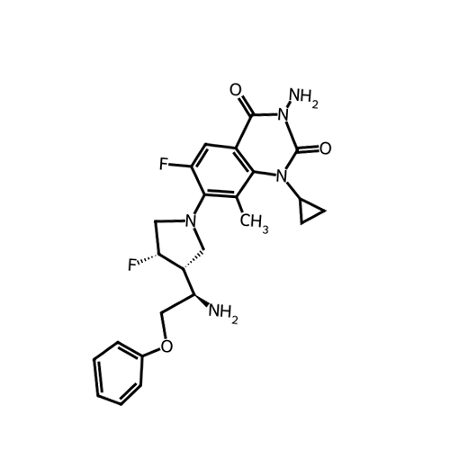 Cc1c(N2C[C@H]([C@@H](N)COc3ccccc3)[C@H](F)C2)c(F)cc2c(=O)n(N)c(=O)n(C3CC3)c12